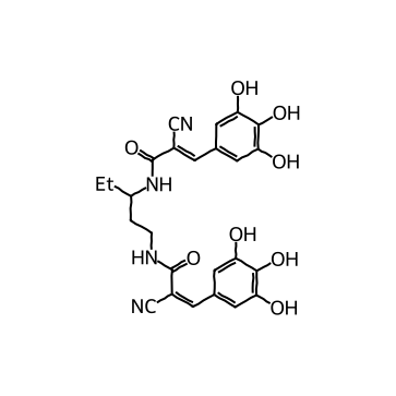 CCC(CCNC(=O)C(C#N)=Cc1cc(O)c(O)c(O)c1)NC(=O)C(C#N)=Cc1cc(O)c(O)c(O)c1